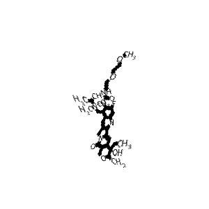 C=C1OCc2c(cc3n(c2=O)Cc2cc4c(C[N+](C)(C)C(C)C)c(OC(=O)NCCOCCOC)c(F)cc4nc2-3)[C@@]1(O)CC